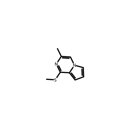 CSc1nc(C)cn2cccc12